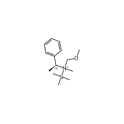 COC[N+](C)([C@@H](C)c1ccccc1)[Si](C)(C)C